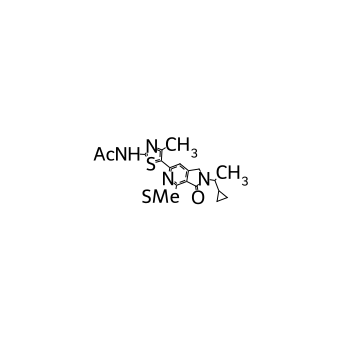 CSc1nc(-c2sc(NC(C)=O)nc2C)cc2c1C(=O)N(C(C)C1CC1)C2